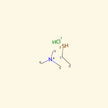 CCS.CN(C)C.Cl